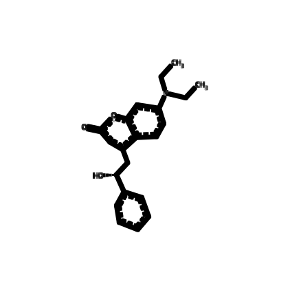 CCN(CC)c1ccc2c(C[C@@H](O)c3ccccc3)cc(=O)oc2c1